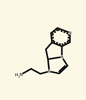 NCCN1C=CN2c3cnccc3CC12